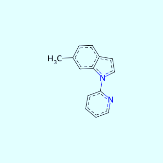 Cc1ccc2ccn(-c3ccccn3)c2c1